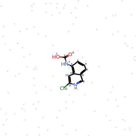 O=C(O)Nc1cccc2cnc(Cl)cc12